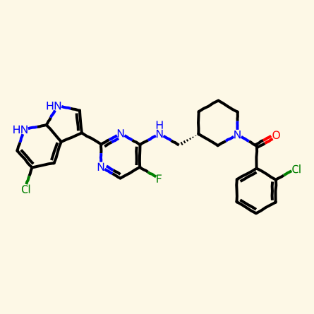 O=C(c1ccccc1Cl)N1CCC[C@@H](CNc2nc(C3=CNC4NC=C(Cl)C=C34)ncc2F)C1